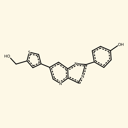 OCc1cc(-c2cnc3cnc(-c4ccc(O)cc4)nc3c2)cs1